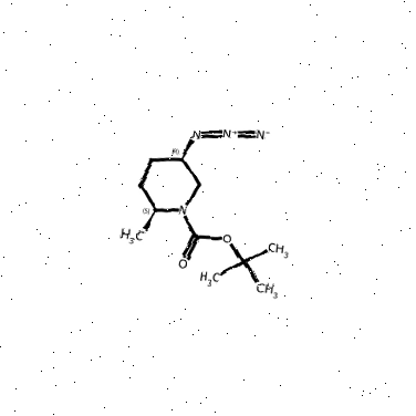 C[C@H]1CC[C@@H](N=[N+]=[N-])CN1C(=O)OC(C)(C)C